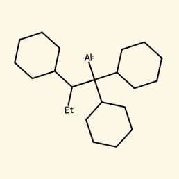 CCC(C1CCCCC1)[C]([Al])(C1CCCCC1)C1CCCCC1